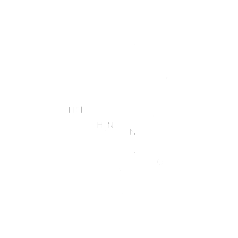 CC=C(C)C(=O)N(N)Cc1ccccc1.Cl